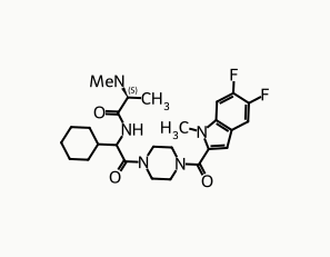 CN[C@@H](C)C(=O)NC(C(=O)N1CCN(C(=O)c2cc3cc(F)c(F)cc3n2C)CC1)C1CCCCC1